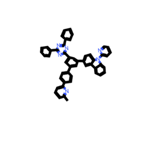 Cc1cccc(-c2ccc(-c3cc(-c4ccc5c(c4)c4ccccc4n5-c4ccccn4)cc(-c4nc(-c5ccccc5)nc(-c5ccccc5)n4)c3)cc2)n1